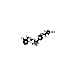 C[C@@H](OC(=O)Nc1c(-c2ccc(NC(=O)[C@]3(F)C[C@H](O)C3)cn2)nnn1C)c1ccccc1Cl